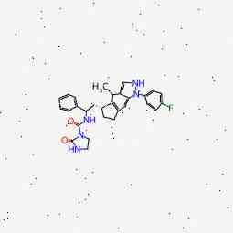 C[C@H]1C2=CNN(c3ccc(F)cc3)C2=CC2=C1[C@@H](CC(NC(=O)N1CCNC1=O)c1ccccc1)CC2